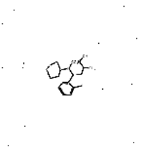 C[C@H](CO)C[C@@H](c1ccccc1I)N(C(=O)O)C1CCCCC1